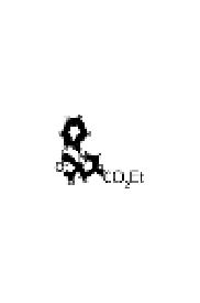 CCOC(=O)C1CN(c2ccccc2)C2(COC2)C1